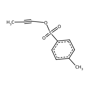 CC#COS(=O)(=O)c1ccc(C)cc1